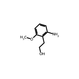 COc1cccc(N)c1CCO